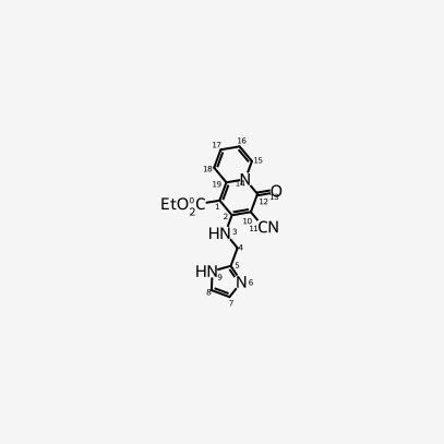 CCOC(=O)c1c(NCc2ncc[nH]2)c(C#N)c(=O)n2ccccc12